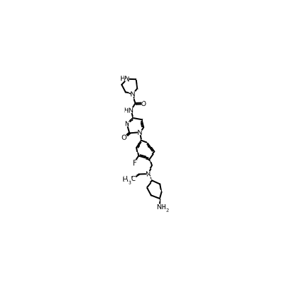 CCN(Cc1ccc(-n2ccc(NC(=O)N3CCNCC3)nc2=O)cc1F)[C@H]1CC[C@H](N)CC1